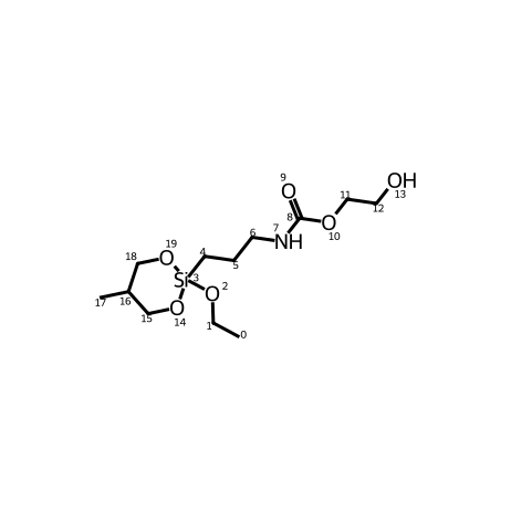 CCO[Si]1(CCCNC(=O)OCCO)OCC(C)CO1